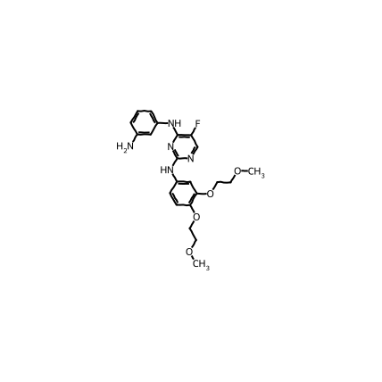 COCCOc1ccc(Nc2ncc(F)c(Nc3cccc(N)c3)n2)cc1OCCOC